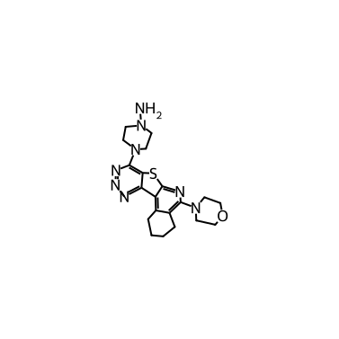 NN1CCN(c2nnnc3c2sc2nc(N4CCOCC4)c4c(c23)CCCC4)CC1